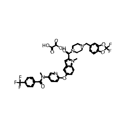 CN(C(=O)c1ccc(C(F)(F)F)cc1)c1ccc(Oc2ccc3c(c2)cc(C(=O)N2CCN(Cc4ccc5c(c4)OC(F)(F)O5)CC2)n3C)nc1.O=C(O)C(=O)O